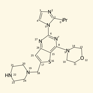 CC(C)c1nccn1-c1nc(N2CCOCC2)c2sc(CN3CCNCC3)cc2n1